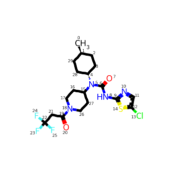 C[C@H]1CC[C@H](N(C(=O)Nc2ncc(Cl)s2)C2CCN(C(=O)CC(F)(F)F)CC2)CC1